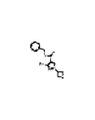 O=C(OCc1ccccc1)c1cn(C2COC2)nc1Br